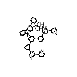 CC1(C)c2ccccc2-c2cc3c4ccccc4n(-c4cc(-c5cccc(-c6cncc(-c7cccnc7)c6)c5)cc(-c5cccc(-c6cncc(-c7cccnc7)c6)c5)c4)c3cc21